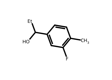 CCC(O)c1ccc(C)c(F)c1